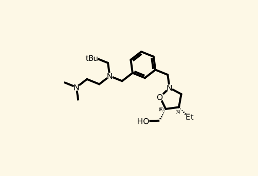 CC[C@H]1CN(Cc2cccc(CN(CCN(C)C)CC(C)(C)C)c2)O[C@H]1CO